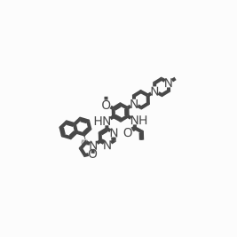 C=CC(=O)Nc1cc(Nc2cc(N3OCC[C@@H]3c3cccc4ccccc34)ncn2)c(OC)cc1N1CCC(N2CCN(C)CC2)CC1